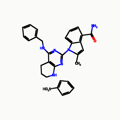 Cc1cc2c(C(N)=O)cccc2n1-c1nc2c(c(NCc3ccccc3)n1)CCCN2.O=S(=O)(O)c1ccccc1